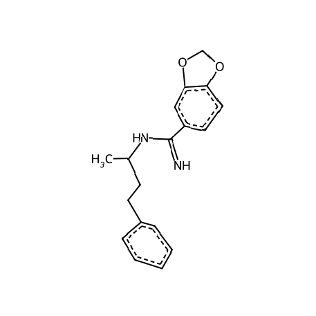 CC(CCc1ccccc1)NC(=N)c1ccc2c(c1)OCO2